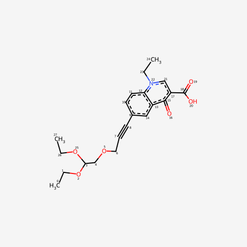 CCOC(COCC#Cc1ccc2c(c1)c(=O)c(C(=O)O)cn2CC)OCC